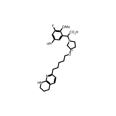 CCCc1cc(F)c(OC)c(C(C(=O)O)N2CC[C@@H](OCCCCCc3ccc4c(n3)NCCC4)C2)c1